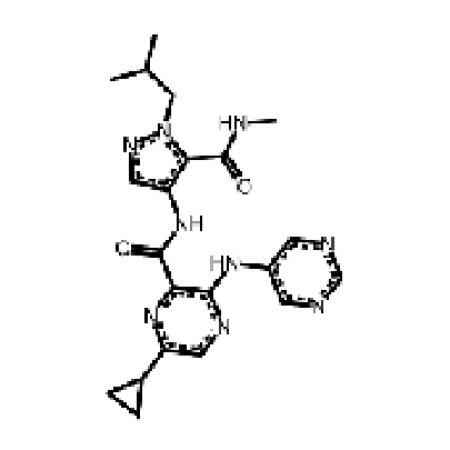 CNC(=O)c1c(NC(=O)c2nc(C3CC3)cnc2Nc2cncnc2)cnn1CC(C)C